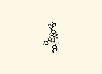 Cc1ncnc(C(=O)N2CCC3(CC2)c2c(n(CC(=O)Nc4ccc(C5CC5)c(F)c4)c4nc(C5=CCOCC5)nn4c2=O)[C@H]2C[C@H]23)c1O